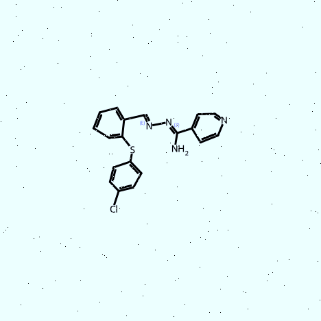 N/C(=N\N=C\c1ccccc1Sc1ccc(Cl)cc1)c1ccncc1